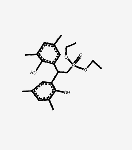 CCOP(=O)(CC(c1cc(C)cc(C)c1O)c1cc(C)cc(C)c1O)OCC